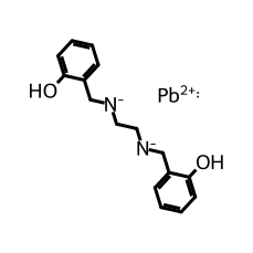 Oc1ccccc1C[N-]CC[N-]Cc1ccccc1O.[Pb+2]